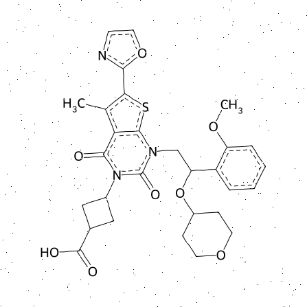 COc1ccccc1C(Cn1c(=O)n(C2CC(C(=O)O)C2)c(=O)c2c(C)c(-c3ncco3)sc21)OC1CCOCC1